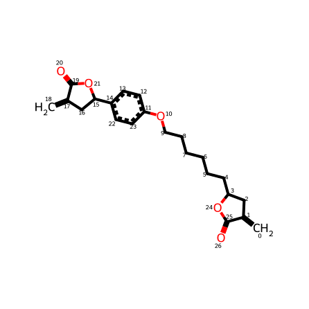 C=C1CC(CCCCCCOc2ccc(C3CC(=C)C(=O)O3)cc2)OC1=O